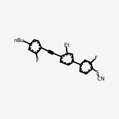 CCCCc1ccc(C#Cc2ccc(-c3ccc(SC#N)c(F)c3)cc2CC)c(F)c1